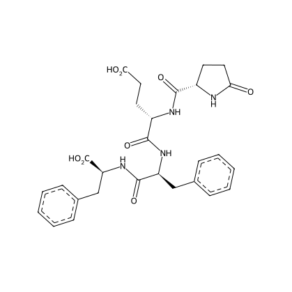 O=C(O)CC[C@H](NC(=O)[C@@H]1CCC(=O)N1)C(=O)N[C@@H](Cc1ccccc1)C(=O)N[C@@H](Cc1ccccc1)C(=O)O